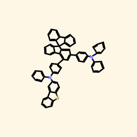 c1ccc(N(c2ccccc2)c2ccc(-c3cc(-c4ccc(N(c5ccccc5)c5ccc6sc7ccccc7c6c5)cc4)c4c(c3)C3(c5ccccc5-c5ccccc53)c3ccccc3-4)cc2)cc1